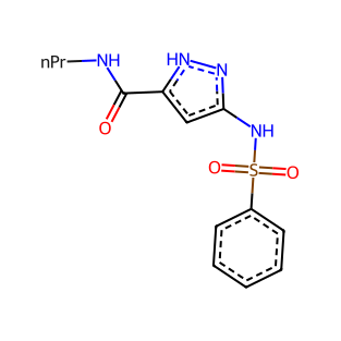 CCCNC(=O)c1cc(NS(=O)(=O)c2ccccc2)n[nH]1